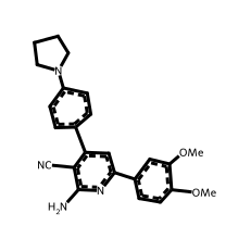 COc1ccc(-c2cc(-c3ccc(N4CCCC4)cc3)c(C#N)c(N)n2)cc1OC